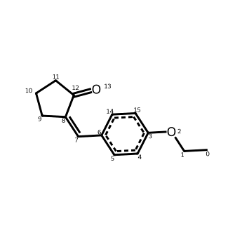 CCOc1ccc(/C=C2/CCCC2=O)cc1